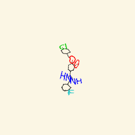 COC1CC(C2CNC(C3CCCC(F)C3)N2)CCC1OCC1CCC(Cl)CC1